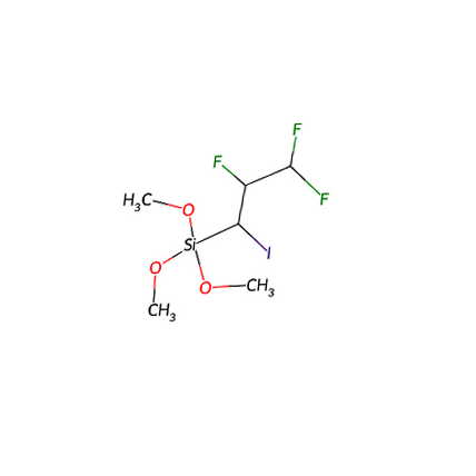 CO[Si](OC)(OC)C(I)C(F)C(F)F